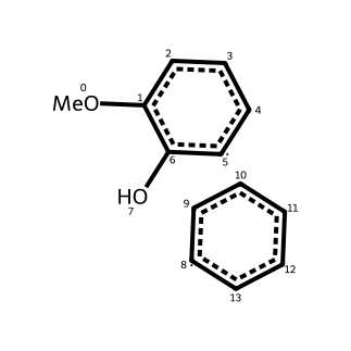 COc1ccc[c]c1O.[c]1ccccc1